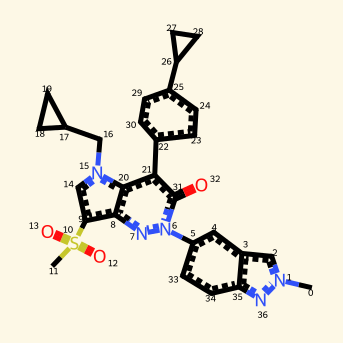 Cn1cc2cc(-n3nc4c(S(C)(=O)=O)cn(CC5CC5)c4c(-c4ccc(C5CC5)cc4)c3=O)ccc2n1